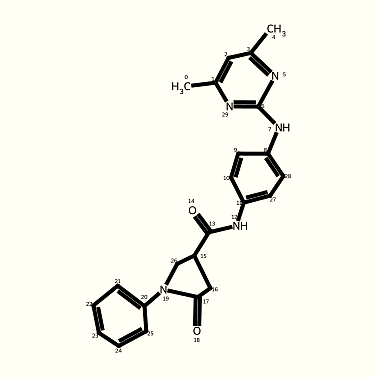 Cc1cc(C)nc(Nc2ccc(NC(=O)C3CC(=O)N(c4ccccc4)C3)cc2)n1